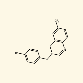 FC(F)(F)c1ccc2c(c1)CN(Cc1ccc(Br)cc1)C=N2